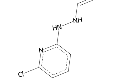 C=CNNc1cccc(Cl)n1